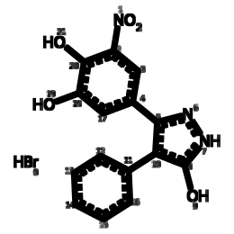 Br.O=[N+]([O-])c1cc(-c2n[nH]c(O)c2-c2ccccc2)cc(O)c1O